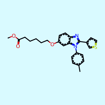 COC(=O)CCCCCOc1ccc2nc(-c3ccsc3)n(-c3ccc(C)cc3)c2c1